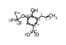 C=CCc1cc([N+](=O)[O-])cc(OC(F)(F)F)c1O